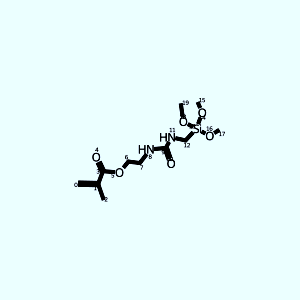 C=C(C)C(=O)OCCNC(=O)NC[Si](OC)(OC)OC